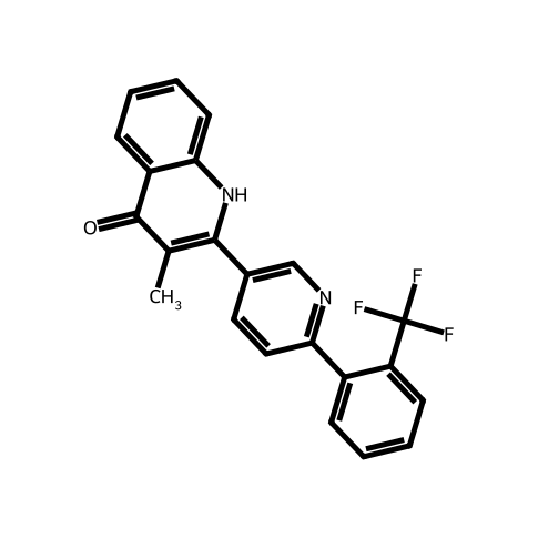 Cc1c(-c2ccc(-c3ccccc3C(F)(F)F)nc2)[nH]c2ccccc2c1=O